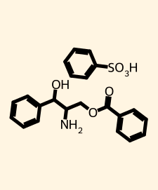 NC(COC(=O)c1ccccc1)C(O)c1ccccc1.O=S(=O)(O)c1ccccc1